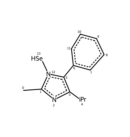 Cc1nc(C(C)C)c(-c2ccccc2)n1[SeH]